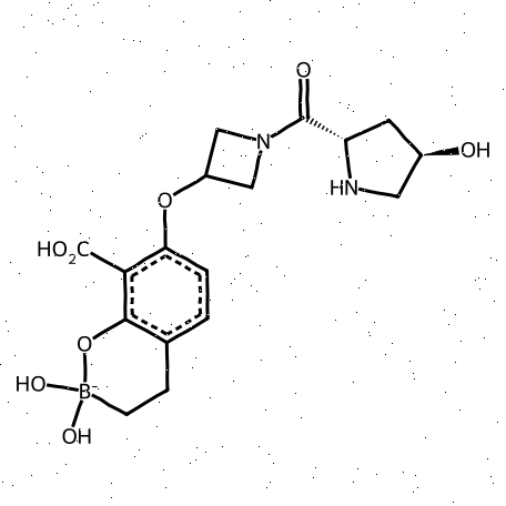 O=C(O)c1c(OC2CN(C(=O)[C@@H]3C[C@@H](O)CN3)C2)ccc2c1O[B-](O)(O)CC2